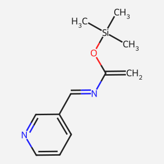 C=C(/N=C/c1cccnc1)O[Si](C)(C)C